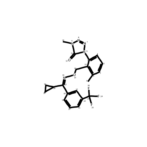 Cc1cccc(-n2nnn(C)c2=O)c1CON=C(c1cccc(C(F)(F)F)c1)C1CC1